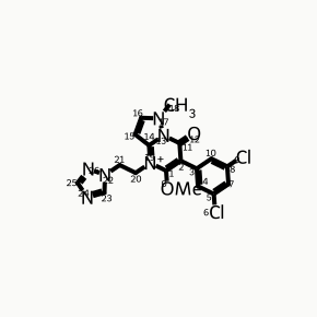 COc1c(-c2cc(Cl)cc(Cl)c2)c(=O)n2c(ccn2C)[n+]1CCn1cncn1